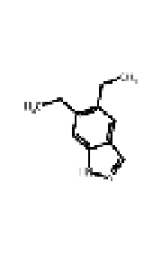 CCc1cc2cn[nH]c2cc1CC